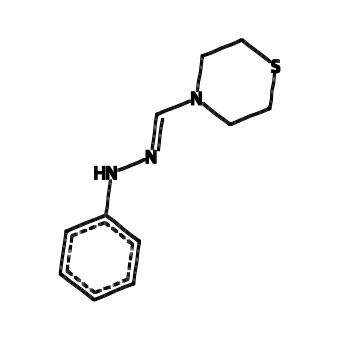 C(=NNc1ccccc1)N1CCSCC1